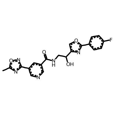 Cc1nc(-c2cncc(C(=O)NCC(O)c3coc(-c4ccc(F)cc4)n3)c2)no1